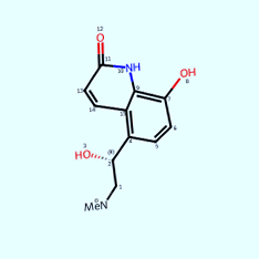 CNC[C@H](O)c1ccc(O)c2[nH]c(=O)ccc12